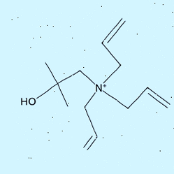 C=CC[N+](CC=C)(CC=C)CC(C)(C)O